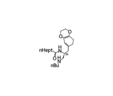 CCCCCCCC(=O)N[C@H](CNCCCC)CC1=CC2=C(CC1)OCCO2